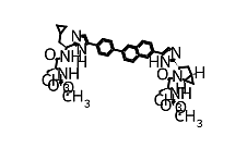 CC[C@H](NC(=O)OC)C(=O)N[C@@H](CC1CC1)c1ncc(-c2ccc(-c3ccc4cc(-c5cnc([C@@H]6C[C@H]7C[C@H]7N6C(=O)[C@H](CC)NC(=O)OC)[nH]5)ccc4c3)cc2)[nH]1